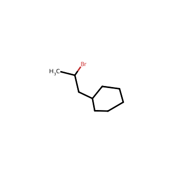 CC(Br)CC1CCCCC1